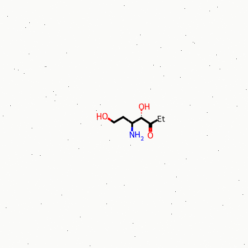 CCC(=O)[C@@H](O)C(N)CCO